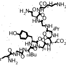 CC[C@H](C)[C@H](NC(=O)CNC(=O)[C@@H](N)CC(C)C)C(=O)N[C@@H](Cc1ccc(O)cc1)C(=O)N[C@@H](C)C(=O)N[C@@H](CC(=O)O)C(=O)N[C@H](C(=O)NCC(=O)N[C@@H](CC(N)=O)C(=O)N[C@@H](CCCCN)C(=O)O)C(C)C